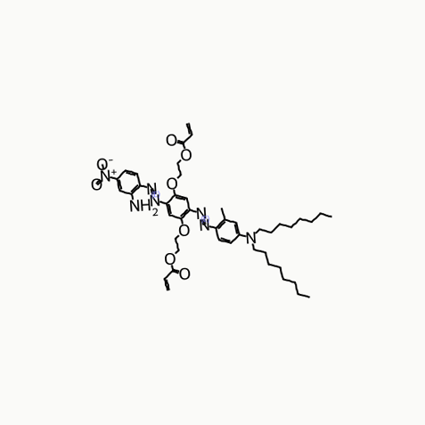 C=CC(=O)OCCOc1cc(/N=N/c2ccc([N+](=O)[O-])cc2N)c(OCCOC(=O)C=C)cc1/N=N/c1ccc(N(CCCCCCCC)CCCCCCCC)cc1C